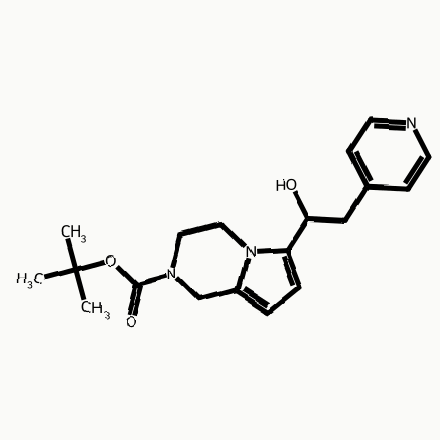 CC(C)(C)OC(=O)N1CCn2c(ccc2C(O)Cc2ccncc2)C1